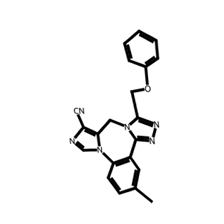 Cc1ccc2c(c1)-c1nnc(COc3ccccc3)n1Cc1c(C#N)ncn1-2